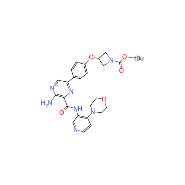 CC(C)(C)OC(=O)N1CC(Oc2ccc(-c3cnc(N)c(C(=O)Nc4cnccc4N4CCOCC4)n3)cc2)C1